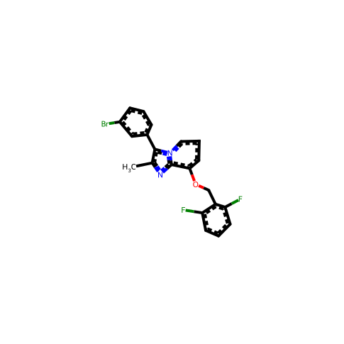 Cc1nc2c(OCc3c(F)cccc3F)cccn2c1-c1cccc(Br)c1